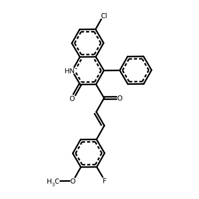 COc1ccc(/C=C/C(=O)c2c(-c3ccccc3)c3cc(Cl)ccc3[nH]c2=O)cc1F